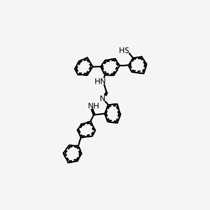 N=C(c1ccc(-c2ccccc2)cc1)c1ccccc1/N=C/Nc1cc(-c2ccccc2S)ccc1-c1ccccc1